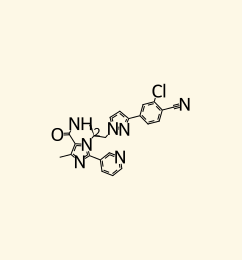 Cc1nc(-c2cccnc2)n([C@@H](C)Cn2ccc(-c3ccc(C#N)c(Cl)c3)n2)c1C(N)=O